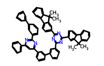 CC1(C)c2ccccc2-c2ccc(-c3nc(-c4cccc(-c5cccc(-c6cc(-c7ccccc7)nc(-c7cccc(-c8ccccc8)c7)n6)c5)c4)nc(-c4ccc5c(c4)C(C)(C)c4ccccc4-5)n3)cc21